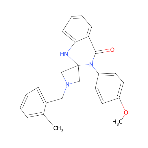 COc1ccc(N2C(=O)c3ccccc3NC23CN(Cc2ccccc2C)C3)cc1